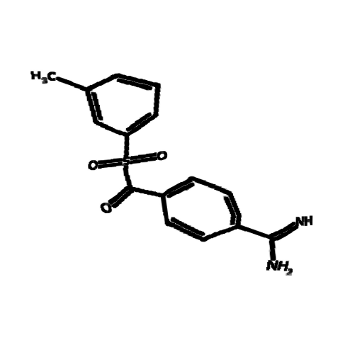 Cc1cccc(S(=O)(=O)C(=O)c2ccc(C(=N)N)cc2)c1